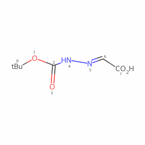 CC(C)(C)OC(=O)NN=CC(=O)O